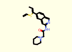 C=CS/C(=C\C)c1ccc2cnc(NC(=O)CN3CCCCC3)cc2c1